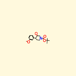 COc1cccc(C2CCN(C(=O)OC(C)(C)C)CC2=O)c1